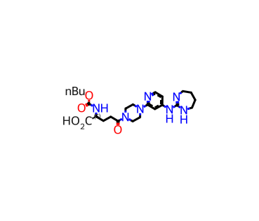 CCCCOC(=O)N[C@@H](CCC(=O)N1CCN(c2cc(NC3=NCCCCN3)ccn2)CC1)C(=O)O